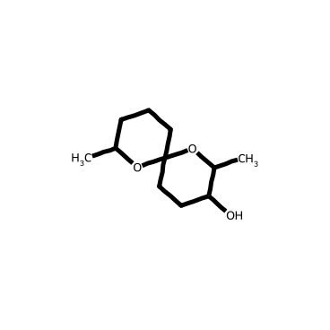 CC1CCCC2(CCC(O)C(C)O2)O1